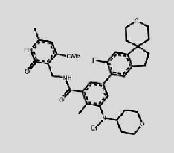 CCN(c1cc(-c2cc3c(cc2F)C2(CCOCC2)CC3)cc(C(=O)NCc2c(OC)cc(C)[nH]c2=O)c1C)C1CCOCC1